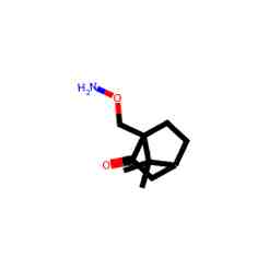 CC1(C)C2CCC1(CON)C(=O)C2